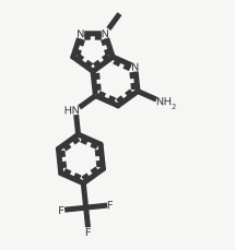 Cn1ncc2c(Nc3ccc(C(F)(F)F)cc3)cc(N)nc21